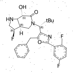 CC(C)(C)[C@H](c1nc(-c2cc(F)ccc2F)oc1Cc1ccccc1)N1C[C@@H]2C(NC[C@@H]2F)[C@H](O)C1=O